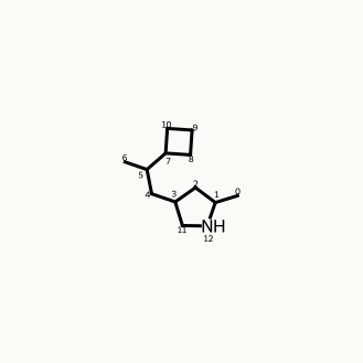 CC1CC(CC(C)C2CCC2)CN1